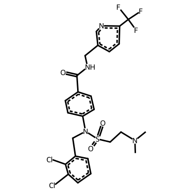 CN(C)CCS(=O)(=O)N(Cc1cccc(Cl)c1Cl)c1ccc(C(=O)NCc2ccc(C(F)(F)F)nc2)cc1